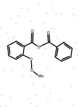 CC(C)(C)OOc1ccccc1C(=O)OC(=O)c1ccccc1